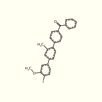 COc1cc(-c2ccc(-c3ccc(C(=O)c4ccccc4)cc3)c(C)c2)ccc1I